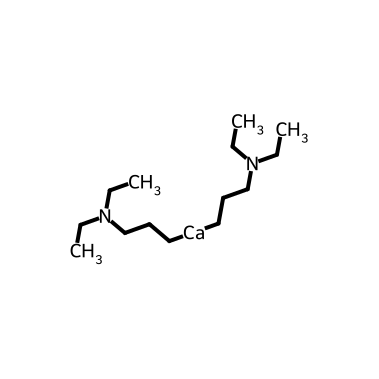 CCN(CC)CC[CH2][Ca][CH2]CCN(CC)CC